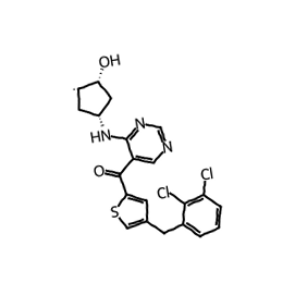 O=C(c1cc(Cc2cccc(Cl)c2Cl)cs1)c1cncnc1N[C@@H]1C[CH][C@H](O)C1